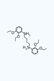 CCOc1cccc([SiH2]CCCC[SiH2]c2cccc(OCC)c2OCC)c1OCC